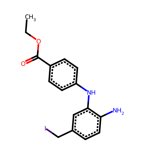 CCOC(=O)c1ccc(Nc2cc(CI)ccc2N)cc1